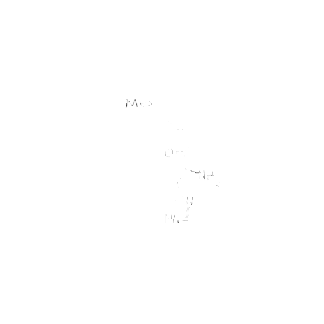 CSC/C=C/C(C)CC(=O)[C@@H](N)Cc1c[nH]cn1